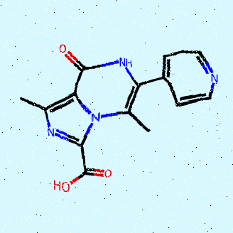 Cc1nc(C(=O)O)n2c(C)c(-c3ccncc3)[nH]c(=O)c12